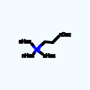 CCCCCCCCCCCC[N+](CCCCCC)(CCCCCC)CCCCCC